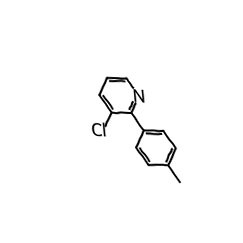 Cc1ccc(-c2ncccc2Cl)cc1